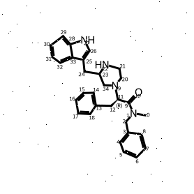 CN(Cc1ccccc1)C(=O)[C@@H](Cc1ccccc1)N1CCNC(Cc2c[nH]c3ccccc23)C1